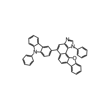 c1ccc(-n2cnc3cc(-c4ccc5c(c4)c4ccccc4n5-c4ccccc4)c4ccc5c6ccccc6oc5c4c32)cc1